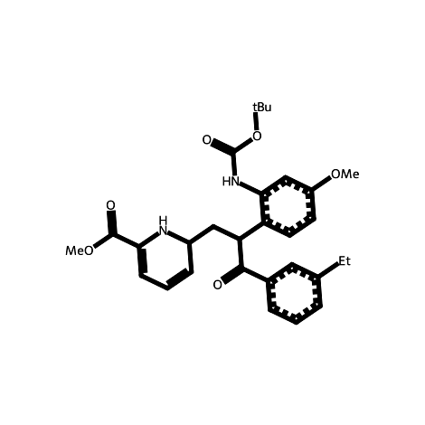 CCc1cccc(C(=O)C(CC2C=CC=C(C(=O)OC)N2)c2ccc(OC)cc2NC(=O)OC(C)(C)C)c1